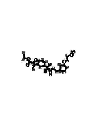 CCOCCOc1cccc(CCNS(=O)(=O)c2ccc3oc(C(=O)OCC)c(C)c3c2)c1